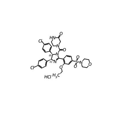 CCOc1cc(S(=O)(=O)N2CCOCC2)ccc1C1=N[C@@H](c2ccc(Cl)cc2)[C@@H](c2ccc(Cl)cc2)N1C(=O)N1CCNC(=O)C1.Cl